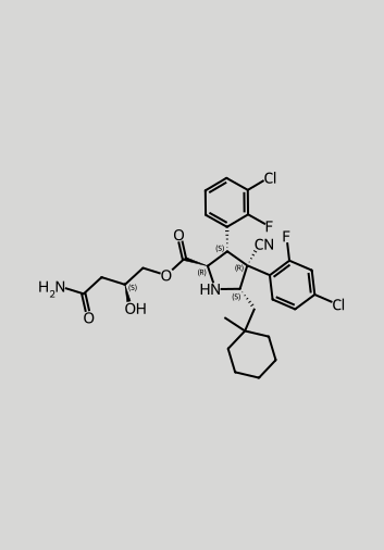 CC1(C[C@@H]2N[C@@H](C(=O)OC[C@@H](O)CC(N)=O)[C@H](c3cccc(Cl)c3F)[C@@]2(C#N)c2ccc(Cl)cc2F)CCCCC1